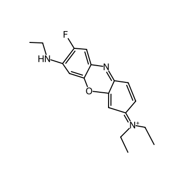 CCNc1cc2oc3cc(=[N+](CC)CC)ccc-3nc2cc1F